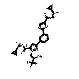 C[C@H](NC(=O)c1cc(-c2cccc(-c3ncc(C(=O)N[C@H](C)C4CC4)o3)c2)nn1CC(O)C(F)(F)F)C1CC1